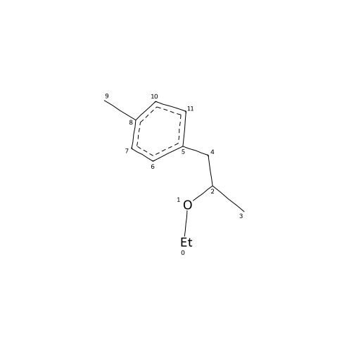 CCOC(C)Cc1ccc(C)cc1